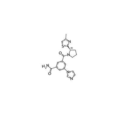 Cc1csc([C@H]2CCCN2C(=O)c2cc(C(N)=O)cc(-n3ccnc3)c2)n1